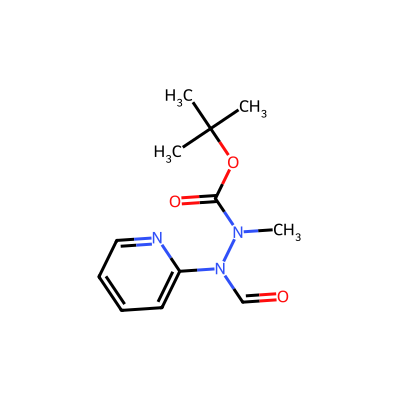 CN(C(=O)OC(C)(C)C)N(C=O)c1ccccn1